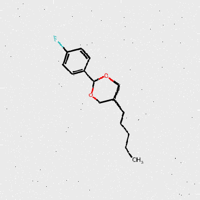 CCCCCC1COC(c2ccc(F)cc2)OC1